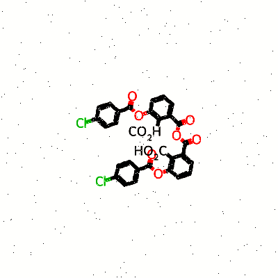 O=C(Oc1cccc(C(=O)OC(=O)c2cccc(OC(=O)c3ccc(Cl)cc3)c2C(=O)O)c1C(=O)O)c1ccc(Cl)cc1